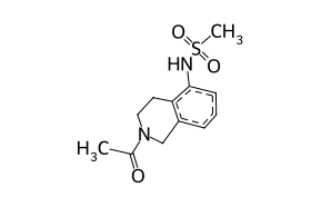 CC(=O)N1CCc2c(cccc2NS(C)(=O)=O)C1